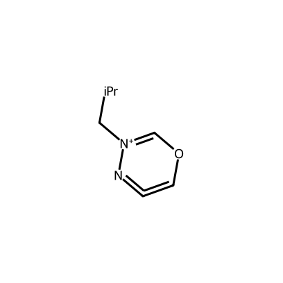 CC(C)C[N+]1=COC=C=N1